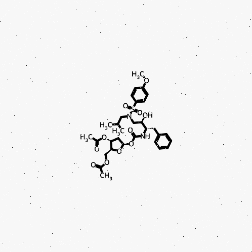 COc1ccc(S(=O)(=O)N(CC(C)C)C[C@@H](O)[C@H](Cc2ccccc2)NC(=O)O[C@@H]2C[C@@H](OC(C)=O)[C@H](COC(C)=O)O2)cc1